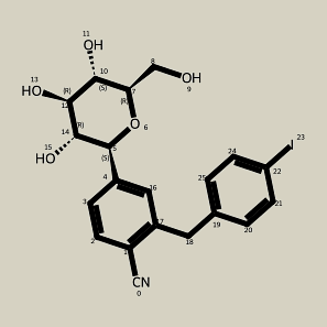 N#Cc1ccc([C@@H]2O[C@H](CO)[C@@H](O)[C@H](O)[C@H]2O)cc1Cc1ccc(I)cc1